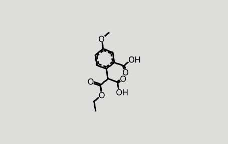 CCOC(=O)C(C(=O)O)c1ccc(OC)cc1C(=O)O